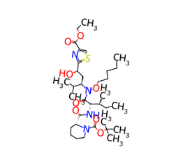 CCCCCON(C(=O)[C@@H](NC(=O)[C@H]1CCCCN1C(=O)OC(C)(C)C)[C@@H](C)CC)[C@H](C[C@@H](O)c1nc(C(=O)OCC)cs1)C(C)C